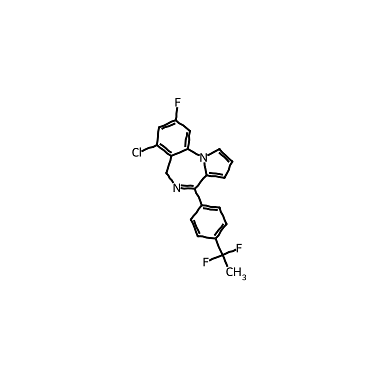 CC(F)(F)c1ccc(C2=NCc3c(Cl)cc(F)cc3-n3cccc32)cc1